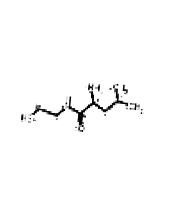 CC(C)CC(N)C(=O)NCCS